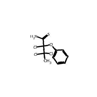 CC(Cl)(Cl)C(Cl)(Oc1ccccc1)C(N)=S